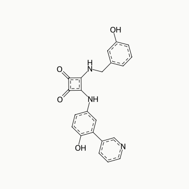 O=c1c(NCc2cccc(O)c2)c(Nc2ccc(O)c(-c3cccnc3)c2)c1=O